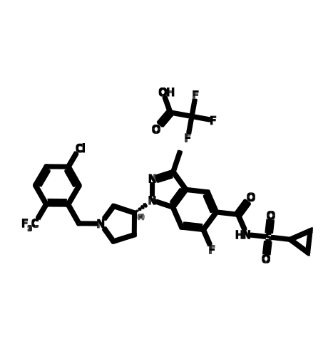 Cc1nn([C@@H]2CCN(Cc3cc(Cl)ccc3C(F)(F)F)C2)c2cc(F)c(C(=O)NS(=O)(=O)C3CC3)cc12.O=C(O)C(F)(F)F